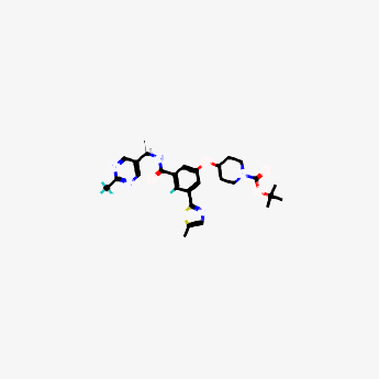 Cc1cnc(-c2cc(OC3CCN(C(=O)OC(C)(C)C)CC3)cc(C(=O)N[C@H](C)c3cnc(C(F)(F)F)nc3)c2F)s1